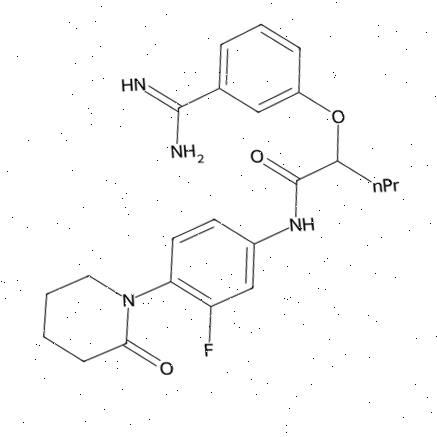 CCCC(Oc1cccc(C(=N)N)c1)C(=O)Nc1ccc(N2CCCCC2=O)c(F)c1